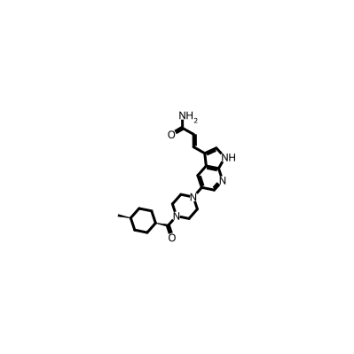 C[C@H]1CC[C@@H](C(=O)N2CCN(c3cnc4[nH]cc(/C=C/C(N)=O)c4c3)CC2)CC1